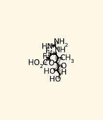 C[C@H]1C([C@H](O)[C@H](O)CO)O[C@@](F)(C(=O)O)C(F)[C@H]1NC(=N)N